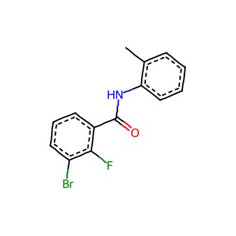 Cc1ccccc1NC(=O)c1cccc(Br)c1F